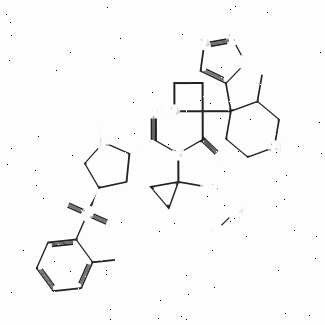 CC1CNCCC1(c1cnns1)C1(C(=O)N(C(=O)[C@@H]2C[C@@H](S(=O)(=O)c3ccccc3Cl)CN2)C2(C#N)CC2)CCN1.O=CO